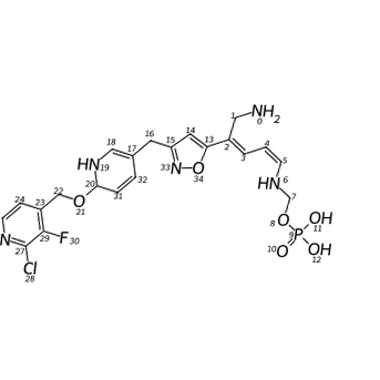 NC/C(=C\C=C/NCOP(=O)(O)O)c1cc(CC2=CNC(OCc3ccnc(Cl)c3F)C=C2)no1